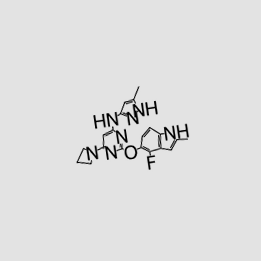 Cc1cc(Nc2cc(N3CCC3)nc(Oc3ccc4[nH]c(C)cc4c3F)n2)n[nH]1